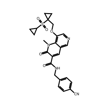 Cn1c(=O)c(C(=O)NCc2ccc(C#N)cc2)cc2cncc(OCC3(S(=O)(=O)C4CC4)CC3)c21